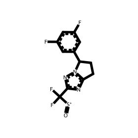 O=[S+]C(F)(F)c1nc2n(n1)C(c1cc(F)cc(F)c1)CC2